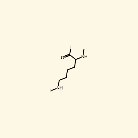 CNC(CCCCNI)C(=O)I